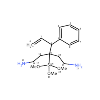 C=CC(c1ccccc1)C(CCN)(CCN)[Si](OC)(OC)OC